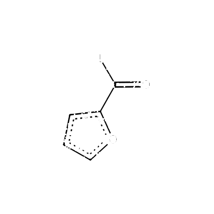 O=C(I)c1ccco1